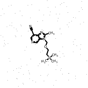 Cc1nc2c(C#N)cncc2n1COCC[Si](C)(C)C